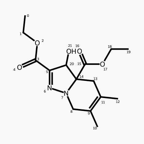 CCOC(=O)C1=NN2CC(C)=C(C)CC2(C(=O)OCC)C1O